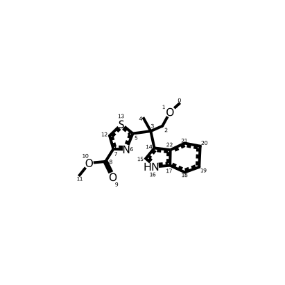 COCC(C)(c1nc(C(=O)OC)cs1)c1c[nH]c2ccccc12